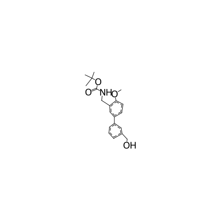 COc1ccc(-c2cccc(CO)c2)cc1CNC(=O)OC(C)(C)C